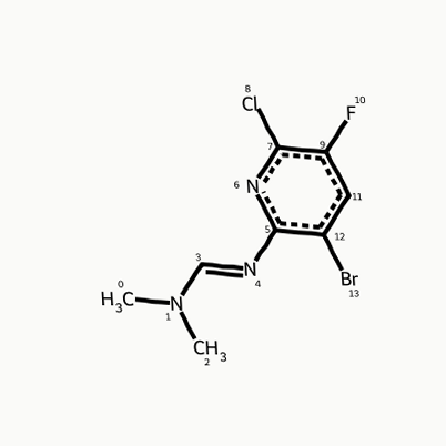 CN(C)/C=N/c1nc(Cl)c(F)cc1Br